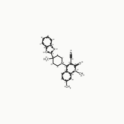 Cc1ccc2c(N3CCC(C)(c4nc5ccccc5o4)CC3)c(C#N)c(=O)n(C)c2c1